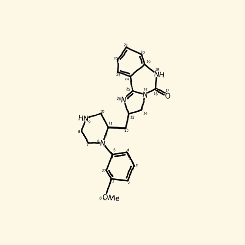 COc1cccc(N2CCNCC2CC2CN3C(=O)Nc4ccccc4C3=N2)c1